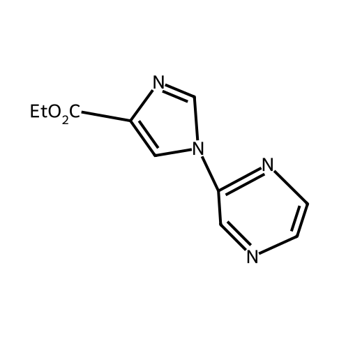 CCOC(=O)c1cn(-c2cnccn2)cn1